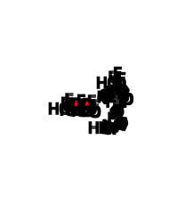 C[C@H]1CN(Cc2cccc(-c3cc(CNC(=O)c4cccc(CN5CCCN(C)CC5)c4)ccc3F)c2)CCN1.O=C(O)C(F)(F)F.O=C(O)C(F)(F)F.O=C(O)C(F)(F)F.O=C(O)C(F)(F)F